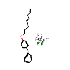 CCCCCCCCOc1ccc(-c2ccccc2)cc1.[F][Sb-]([F])([F])([F])([F])[F].[I-]